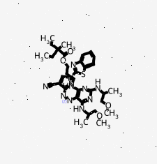 CCC(C)(CC)C(=O)OCCCNc1nc(NC(C)COC)nc(NC(C)COC)c1/N=N\c1nn(-c2nc3ccccc3s2)cc1C#N